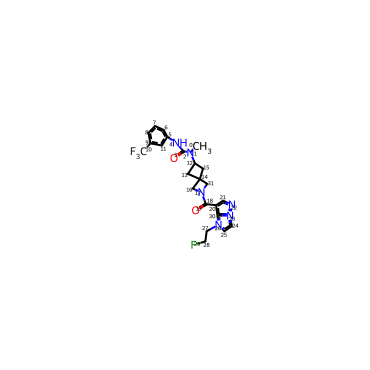 CN(C(=O)Nc1cccc(C(F)(F)F)c1)C1CC2(C1)CN(C(=O)c1cnn3ccn(CCF)c13)C2